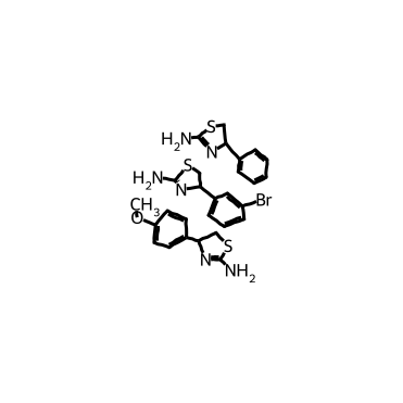 COc1ccc(C2CSC(N)=N2)cc1.NC1=NC(c2cccc(Br)c2)CS1.NC1=NC(c2ccccc2)CS1